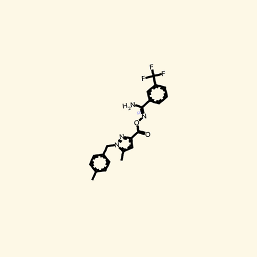 Cc1ccc(Cn2nc(C(=O)O/N=C(\N)c3cccc(C(F)(F)F)c3)cc2C)cc1